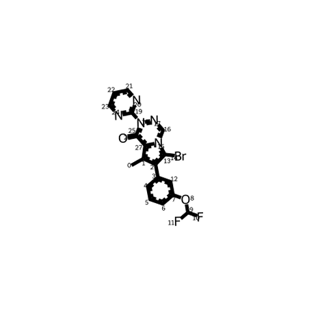 Cc1c(-c2cccc(OC(F)F)c2)c(Br)n2cnn(-c3ncccn3)c(=O)c12